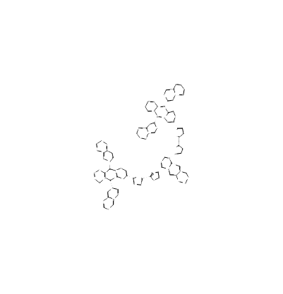 c1ccc2cc(-c3c4ccccc4c(-c4ccc5ccccc5c4)c4cc(-c5ccc(-c6ccc(-c7ccc(-c8ccc(-c9ccc(-c%10ccc%11c(-c%12ccc%13ccccc%13c%12)c%12ccccc%12c(-c%12ccc%13ccccc%13c%12)c%11c%10)s9)s8)c8cc9ccccc9cc78)s6)s5)ccc34)ccc2c1